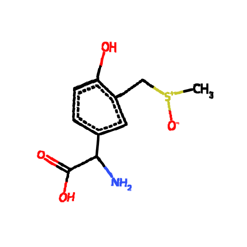 C[S+]([O-])Cc1cc(C(N)C(=O)O)ccc1O